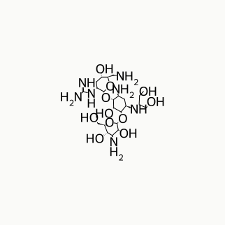 N=C(N)N[C@@H]1C[C@H](O)[C@@H](CN)O[C@@H]1O[C@H]1[C@H](O)[C@@H](O[C@H]2O[C@H](CO)[C@@H](O)[C@H](N)[C@H]2O)[C@H](NC(CO)CO)C[C@@H]1N